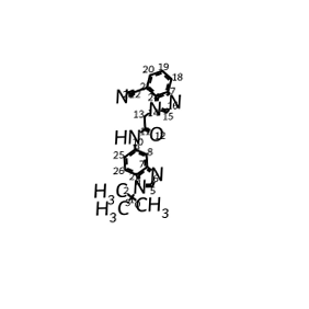 CC(C)(C)n1cnc2cc(NC(=O)Cn3cnc4cccc(C#N)c43)ccc21